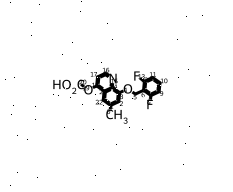 Cc1cc(OCc2c(F)cccc2F)c2nccc(OC(=O)O)c2c1